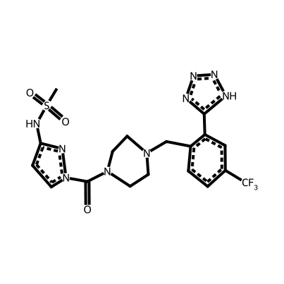 CS(=O)(=O)Nc1ccn(C(=O)N2CCN(Cc3ccc(C(F)(F)F)cc3-c3nnn[nH]3)CC2)n1